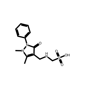 Cc1c(CNCS(=O)(=O)O)c(=O)n(-c2ccccc2)n1C